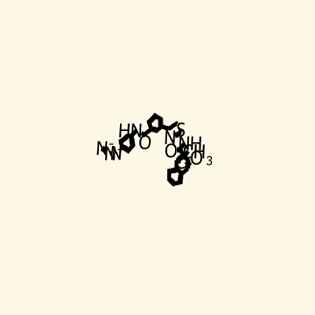 CC1(C(=O)NC2=NC(c3cccc(C(=O)Nc4ccc(N=[N+]=[N-])cc4)c3)CS2)CC2C(=O)CC1c1ccccc12